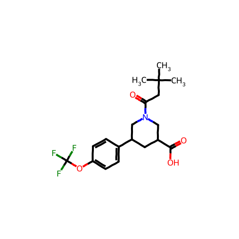 CC(C)(C)CC(=O)N1CC(C(=O)O)CC(c2ccc(OC(F)(F)F)cc2)C1